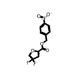 O=C(OCc1ccc([N+](=O)[O-])cc1)C1CC(F)(F)CO1